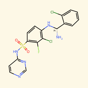 N[C@H](Nc1ccc(S(=O)(=O)Nc2ccncn2)c(F)c1Cl)c1ccccc1Cl